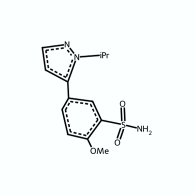 COc1ccc(-c2ccnn2C(C)C)cc1S(N)(=O)=O